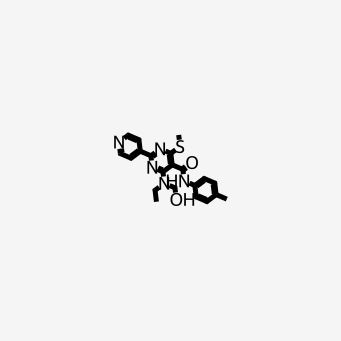 CCN(CO)c1nc(-c2ccncc2)nc(SC)c1C(=O)Nc1ccc(C)cc1